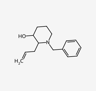 C=CCC1C(O)CCCN1Cc1ccccc1